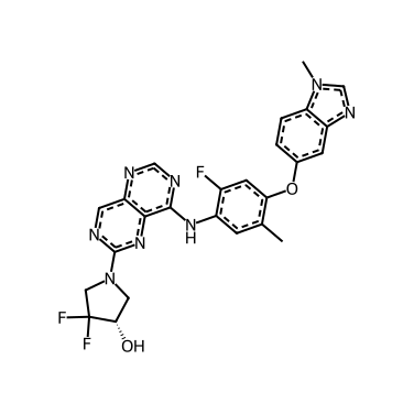 Cc1cc(Nc2ncnc3cnc(N4C[C@H](O)C(F)(F)C4)nc23)c(F)cc1Oc1ccc2c(c1)ncn2C